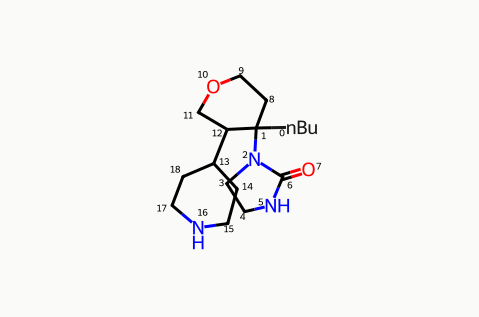 CCCCC1(N2CCNC2=O)CCOCC1C1CCNCC1